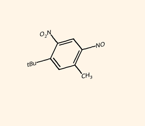 Cc1cc(C(C)(C)C)c([N+](=O)[O-])cc1N=O